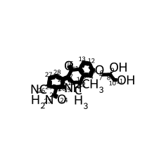 CC1(C)c2cc(OC[C@@H](O)CO)ccc2C(=O)c2c1[nH]c1c(C(N)=O)c(C#N)ccc21